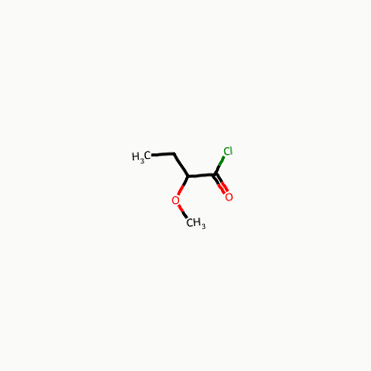 CCC(OC)C(=O)Cl